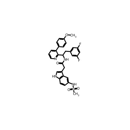 COc1ccc(-c2cccnc2C(Cc2cc(F)cc(F)c2)NC(=O)Cc2c[nH]c3ccc(NS(C)(=O)=O)cc23)cc1